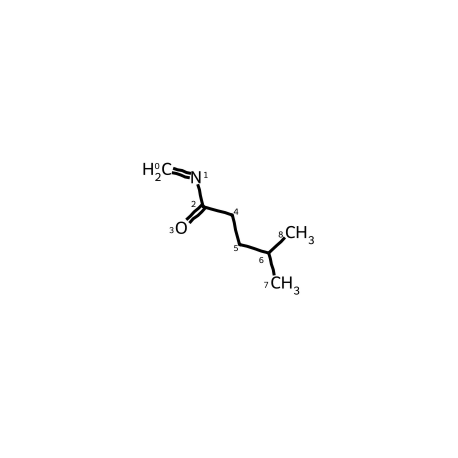 C=NC(=O)CCC(C)C